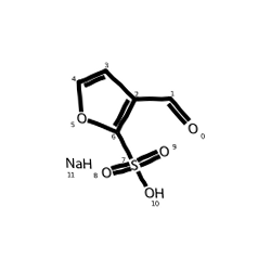 O=Cc1ccoc1S(=O)(=O)O.[NaH]